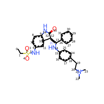 CCS(=O)(=O)Nc1ccc2c(c1)/C(=C(\Nc1ccc(CCN(C)C)cc1)c1ccccc1)C(=O)N2